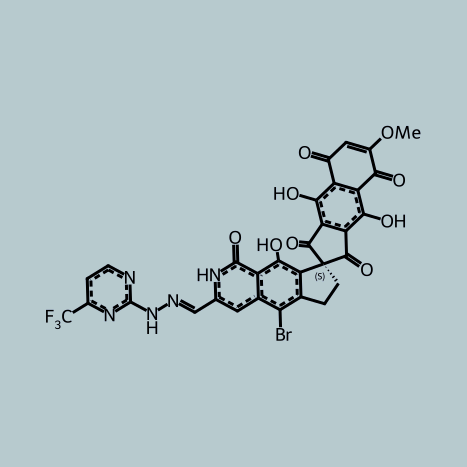 COC1=CC(=O)c2c(O)c3c(c(O)c2C1=O)C(=O)[C@]1(CCc2c1c(O)c1c(=O)[nH]c(C=NNc4nccc(C(F)(F)F)n4)cc1c2Br)C3=O